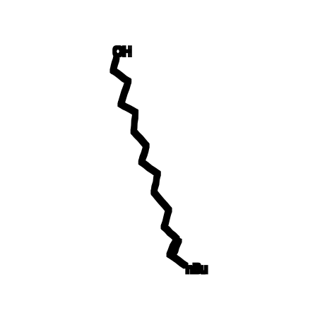 CCCCC=CCCCCCCCCCCCO